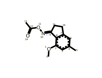 COc1cc(C)cc2c1/C(=N/OC(C)=O)CC2